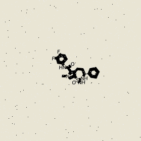 Cn1cc2c(c1C(=O)Nc1ccc(F)c(F)c1)CC[C@H](c1ccccc1)NS2(=N)=O